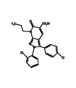 CCOC(=O)c1cc2c(-c3ccc(Cl)cc3)n(-c3ccccc3Cl)nc2n(CCC(F)(F)F)c1=O